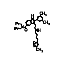 Cc1cc(C)cc(-c2[nH]c3ccc(C(=O)N(CC(C)C)CC(C)C)cc3c2CCNCCCCc2cc(C)no2)c1